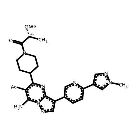 CO[C@H](C)C(=O)N1CCC(c2nc3c(-c4ccc(-c5cnn(C)c5)nc4)cnn3c(N)c2C(C)=O)CC1